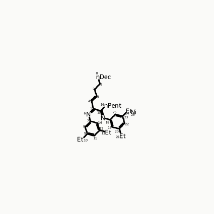 CCCCCCCCCCCCC=CC(=Nc1cc(CC)cc(CC)c1)C(CCCCC)=Nc1cc(CC)cc(CC)c1.[Ni]